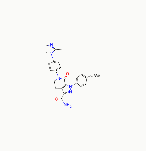 [CH2]c1nccn1-c1ccc(N2CCc3c(C(N)=O)nn(-c4ccc(OC)cc4)c3C2=O)cc1